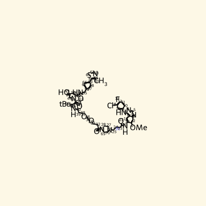 COc1cc2ncnc(Nc3ccc(F)c(Cl)c3)c2cc1NC(=O)/C=C/CN1CCN(C(=O)CCOCCOCCC(=O)N[C@H](C(=O)N2C[C@H](O)C[C@H]2C(=O)NCc2ccc(-c3scnc3C)cc2)C(C)(C)C)CC1